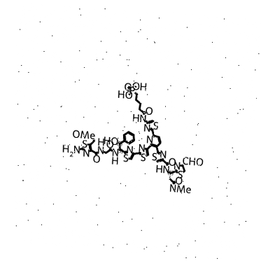 CNC(=O)C[C@H](NC(=O)c1csc(-c2ccc(-c3nc(NC(=O)CCCCP(=O)(O)O)cs3)nc2-c2csc(-c3csc([C@@H](NC(=O)CNC(=O)c4nc(N)sc4COC)[C@@H](O)c4ccccc4)n3)n2)n1)C1=NC(C=O)CS1